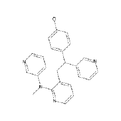 CN(c1cccnc1)c1ncccc1CC(c1ccc(Cl)cc1)c1cccnc1